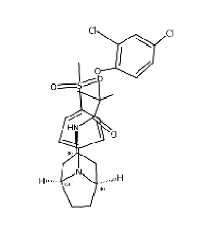 CC(C)(Oc1ccc(Cl)cc1Cl)C(=O)N[C@H]1C[C@H]2CC[C@@H](C1)N2c1ccc(S(C)(=O)=O)cc1